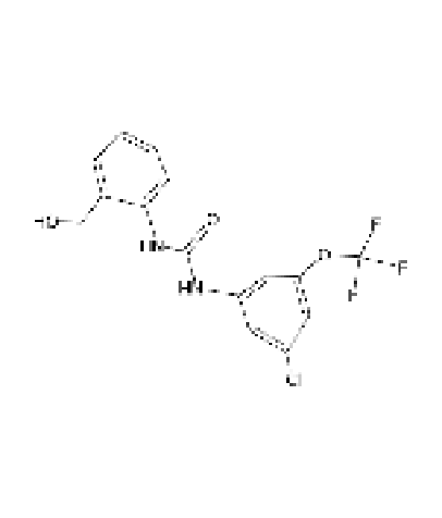 O=C(Nc1cc(Cl)cc(OC(F)(F)F)c1)Nc1ccccc1CO